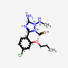 CCCOc1cc(Cl)ccc1C1=NC(N)N(NC)N1C=S